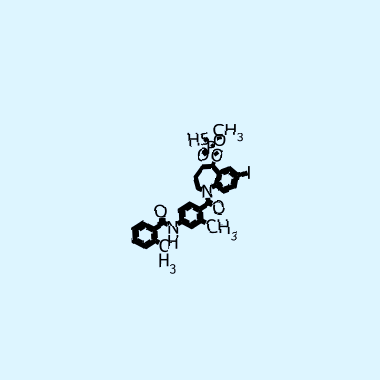 COP(=O)(S)OC1CCCN(C(=O)c2ccc(NC(=O)c3ccccc3C)cc2C)c2ccc(I)cc21